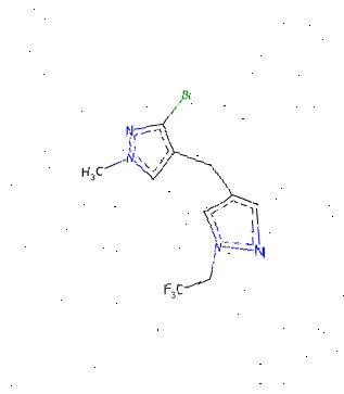 Cn1cc(Cc2cnn(CC(F)(F)F)c2)c(Br)n1